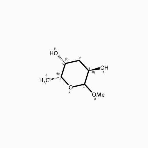 COC1O[C@H](C)[C@H](O)C[C@H]1O